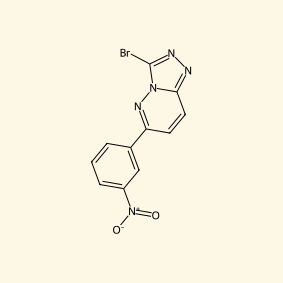 O=[N+]([O-])c1cccc(-c2ccc3nnc(Br)n3n2)c1